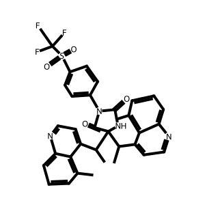 Cc1cccc2nccc(C(C)C3(C(C)c4ccnc5cccc(C)c45)NC(=O)N(c4ccc(S(=O)(=O)C(F)(F)F)cc4)C3=O)c12